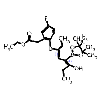 CCOC(=O)Cc1cc(F)ccc1O/C(=C/C(B1OC(C)(C)C(C)(C)O1)=C(/O)CC)CC